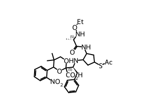 CCON[C@@H](C)C(=O)NC1CC(SC(C)=O)CC1N[C@@H](Cc1ccccc1)C1(C(=O)O)OCC(C)(C)C(c2ccccc2[N+](=O)[O-])O1